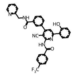 N#Cc1c(-c2cccc(C(=O)NCc3ccccn3)c2)cc(-c2ccccc2O)nc1NC(=O)c1ccc(C(F)(F)F)cc1